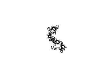 CNC(=O)c1cc(Oc2ccc3c(c2)CCN3S(=O)(=O)c2ccc(CNC(=O)c3ccc(Cl)cc3)s2)ccn1